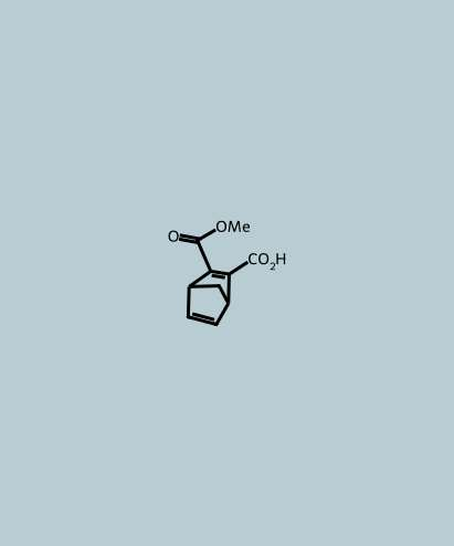 COC(=O)C1=C(C(=O)O)C2C=CC1C2